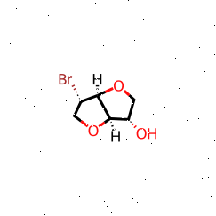 O[C@H]1CO[C@H]2[C@@H]1OC[C@@H]2Br